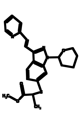 COC(=O)C(C)Sc1ccc2c(C=Cc3ccccn3)nn(C3CCCCO3)c2c1